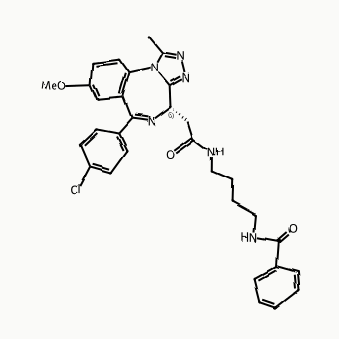 COc1ccc2c(c1)C(c1ccc(Cl)cc1)=N[C@@H](CC(=O)NCCCCNC(=O)c1ccccc1)c1nnc(C)n1-2